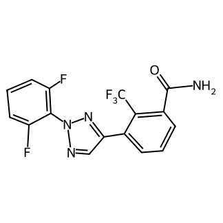 NC(=O)c1cccc(-c2cnn(-c3c(F)cccc3F)n2)c1C(F)(F)F